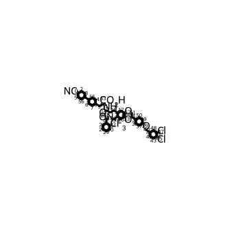 N#Cc1ccc(-c2ccc(CC(NC(=O)C3Cc4cc5c(cc4CN3C(=O)c3ccccc3C(F)(F)F)OC(c3ccc(OCc4ccc(Cl)c(Cl)c4)cc3)CO5)C(=O)O)cc2)cc1